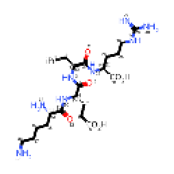 CC(C)C[C@H](NC(=O)[C@H](CCC(=O)O)NC(=O)[C@@H](N)CCCCN)C(=O)N[C@@H](CCCNC(=N)N)C(=O)O